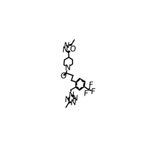 Cc1nnn(Cc2cc(C(F)(F)F)ccc2CCC(=O)N2CCC(c3nnc(C)o3)CC2)n1